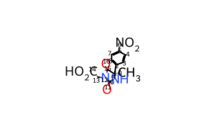 C[C@]1(c2ccc([N+](=O)[O-])cc2)NC(=O)N(CC(=O)O)C1=O